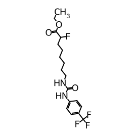 CCOC(=O)C(F)CCCCCCNC(=O)Nc1ccc(C(F)(F)F)cc1